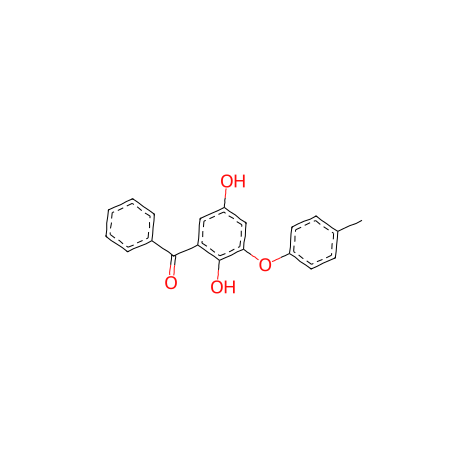 Cc1ccc(Oc2cc(O)cc(C(=O)c3ccccc3)c2O)cc1